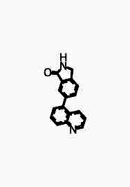 O=C1NCc2ccc(-c3cccc4ncccc34)cc21